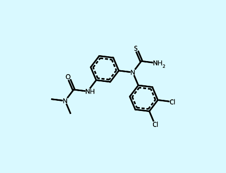 CN(C)C(=O)Nc1cccc(N(C(N)=S)c2ccc(Cl)c(Cl)c2)c1